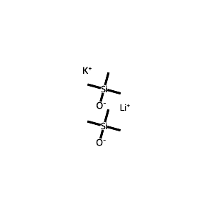 C[Si](C)(C)[O-].C[Si](C)(C)[O-].[K+].[Li+]